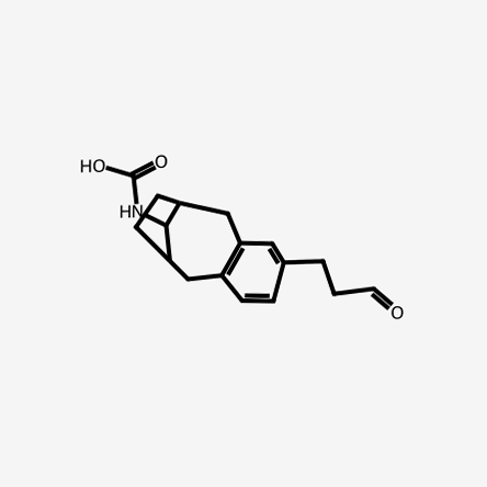 O=CCCc1ccc2c(c1)CC1CCC(C2)C1NC(=O)O